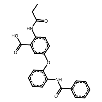 CCC(=O)Nc1ccc(Oc2ccccc2NC(=O)c2ccccc2)cc1C(=O)O